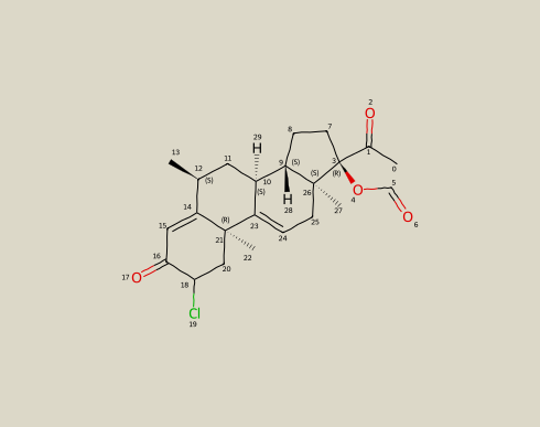 CC(=O)[C@@]1(OC=O)CC[C@H]2[C@@H]3C[C@H](C)C4=CC(=O)C(Cl)C[C@]4(C)C3=CC[C@@]21C